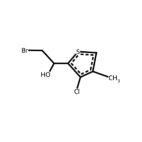 Cc1csc(C(O)CBr)c1Cl